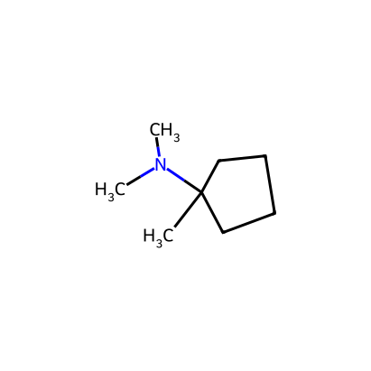 CN(C)C1(C)CCCC1